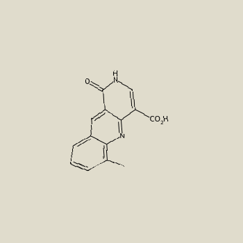 Cc1cccc2cc3c(=O)[nH]cc(C(=O)O)c3nc12